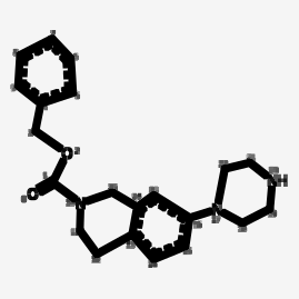 O=C(OCc1ccccc1)N1CCc2ccc(N3CCNCC3)cc2C1